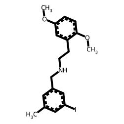 COc1ccc(OC)c(CCNCc2cc(C)cc(I)c2)c1